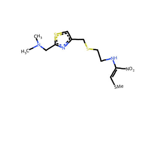 CSC=C(NCCSCc1csc(CN(C)C)n1)[N+](=O)[O-]